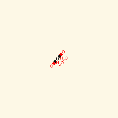 O.O.[O]=[U]=[O]